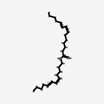 CCCC/C=C/C=C\CCCCCC(=O)OCCCC/C=C\C=C\CCCC